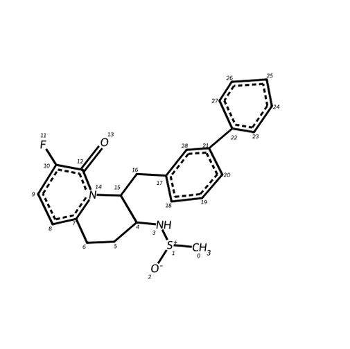 C[S+]([O-])NC1CCc2ccc(F)c(=O)n2C1Cc1cccc(-c2ccccc2)c1